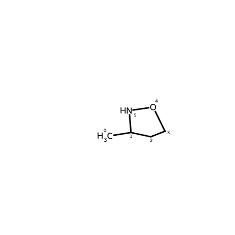 C[C]1CCON1